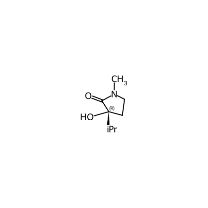 CC(C)[C@]1(O)CCN(C)C1=O